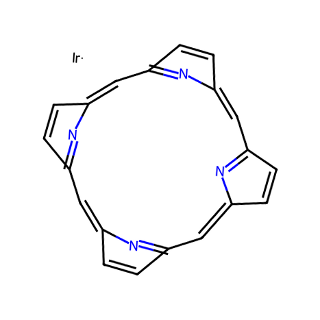 C1=CC2=NC1=CC1=NC(=CC3=NC(=CC4=NC(=C2)C=C4)C=C3)C=C1.[Ir]